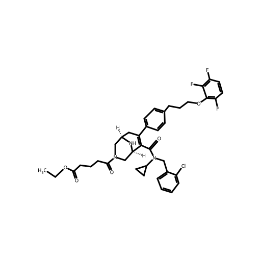 CCOC(=O)CCCC(=O)N1C[C@H]2CC(c3ccc(CCCOc4c(F)ccc(F)c4F)cc3)=C(C(=O)N(Cc3ccccc3Cl)C3CC3)[C@@H](C1)N2